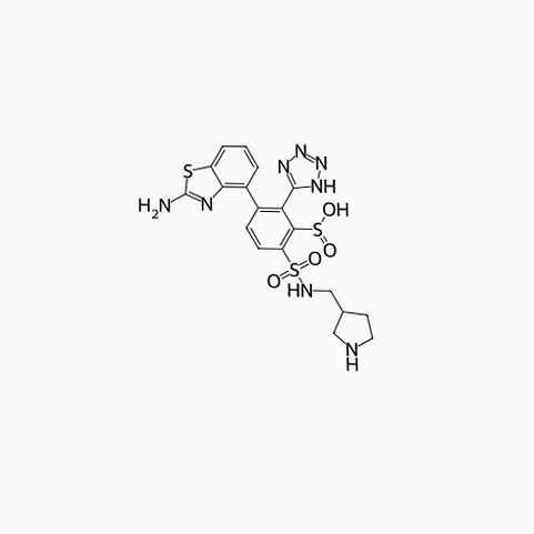 Nc1nc2c(-c3ccc(S(=O)(=O)NCC4CCNC4)c(S(=O)O)c3-c3nnn[nH]3)cccc2s1